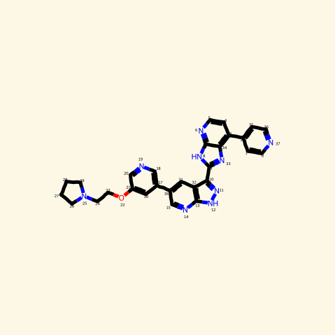 c1cc(-c2ccnc3[nH]c(-c4n[nH]c5ncc(-c6cncc(OCCN7CCCC7)c6)cc45)nc23)ccn1